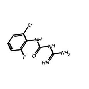 N=C(N)NC(=O)Nc1c(F)cccc1Br